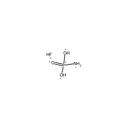 F.NP(=O)(O)O